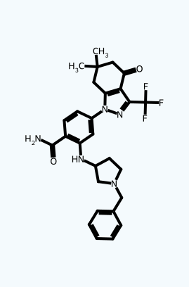 CC1(C)CC(=O)c2c(C(F)(F)F)nn(-c3ccc(C(N)=O)c(NC4CCN(Cc5ccccc5)C4)c3)c2C1